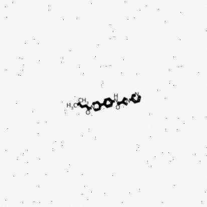 CC(C)CCC(=O)N1CCC(c2ccc(NC(=O)C3CN(c4cccnc4)C3)cc2)CC1